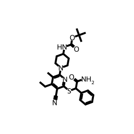 CCc1c(C)c(N2CCC(NC(=O)OC(C)(C)C)CC2)nc(SC(C(N)=O)c2ccccc2)c1C#N